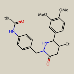 CCC1CC(=O)N(Cc2ccc(NC(=O)C(C)(C)C)cc2)NC1c1ccc(OC)c(OC)c1